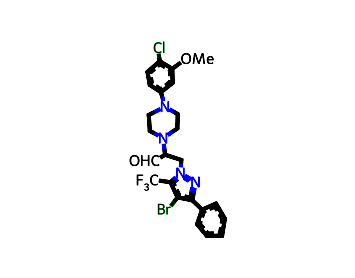 COc1cc(N2CCN(C(C=O)Cn3nc(-c4ccccc4)c(Br)c3C(F)(F)F)CC2)ccc1Cl